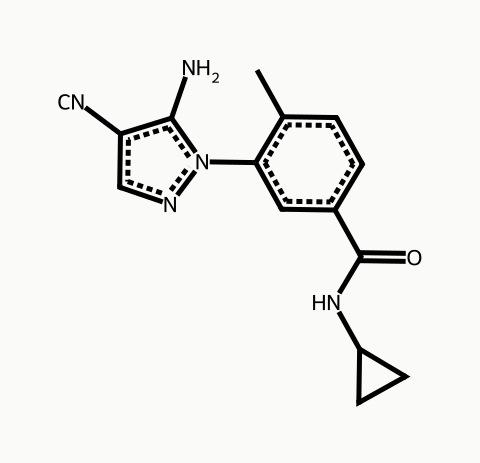 [C-]#[N+]c1cnn(-c2cc(C(=O)NC3CC3)ccc2C)c1N